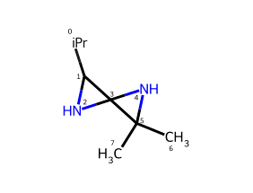 CC(C)C1NC12NC2(C)C